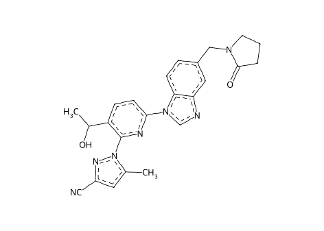 Cc1cc(C#N)nn1-c1nc(-n2cnc3cc(CN4CCCC4=O)ccc32)ccc1C(C)O